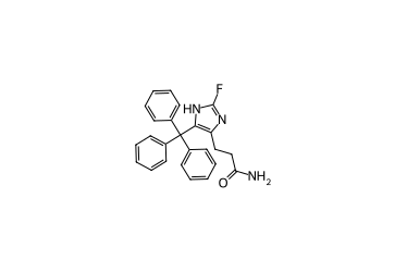 NC(=O)CCc1nc(F)[nH]c1C(c1ccccc1)(c1ccccc1)c1ccccc1